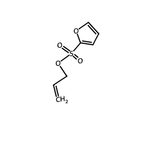 C=CCOS(=O)(=O)c1ccco1